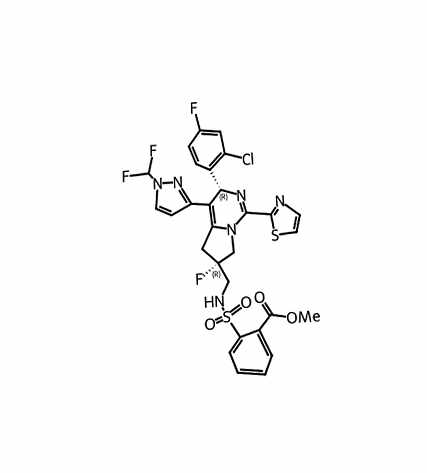 COC(=O)c1ccccc1S(=O)(=O)NC[C@@]1(F)CC2=C(c3ccn(C(F)F)n3)[C@H](c3ccc(F)cc3Cl)N=C(c3nccs3)N2C1